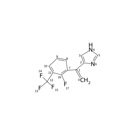 C=C(c1c[nH]cn1)c1cccc(C(F)(F)F)c1F